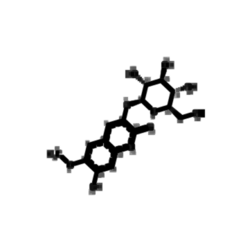 COc1cc2cc(O[C@@H]3O[C@H](CO)[C@@H](O)[C@H](O)[C@H]3O)c(=O)oc2cc1O